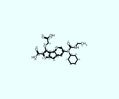 CCNC(=O)N(c1csc2c3c(OCC(=O)O)c(C(=O)O)sc3cc-2c1)C1CCCCC1